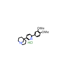 COc1ccc(-c2ccc(C34CCCN(CCC3)C4)cn2)cc1OC.Cl